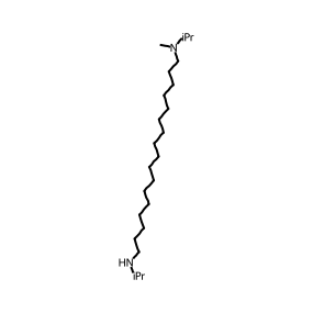 CC(C)NCCCCCCCCCCCCCCCCCN(C)C(C)C